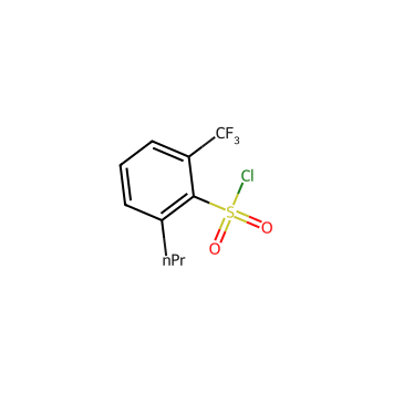 CCCc1cccc(C(F)(F)F)c1S(=O)(=O)Cl